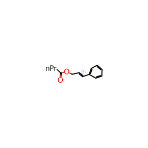 CCCC(=O)OC/C=C/c1ccccc1